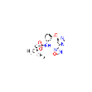 CC(C)(C)OC(=O)Nc1cccc(Oc2cc(-c3ncon3)ncn2)c1